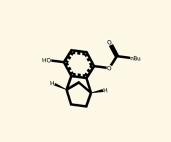 CCCCC(=O)Oc1ccc(O)c2c1[C@@H]1CC[C@H]2C1